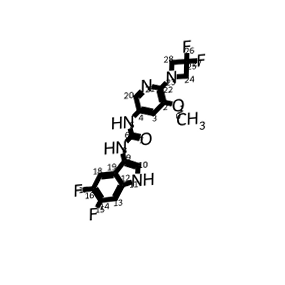 COc1cc(NC(=O)Nc2c[nH]c3cc(F)c(F)cc23)cnc1N1CC(F)(F)C1